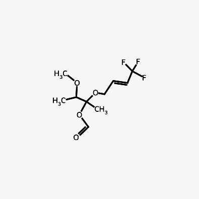 COC(C)C(C)(OC=O)OC/C=C/C(F)(F)F